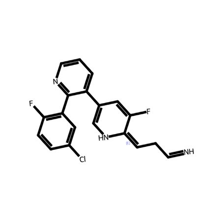 N=CC/C=C1/NC=C(c2cccnc2-c2cc(Cl)ccc2F)C=C1F